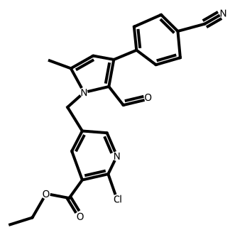 CCOC(=O)c1cc(Cn2c(C)cc(-c3ccc(C#N)cc3)c2C=O)cnc1Cl